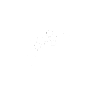 CC1CC(c2cccc(N3CNc4c(C(F)(F)F)cc(CN5CCC[C@H](C)C5)cc4S3(=O)=O)c2)(c2ncnn2C)C1